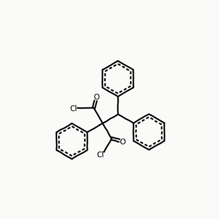 O=C(Cl)C(C(=O)Cl)(c1ccccc1)C(c1ccccc1)c1ccccc1